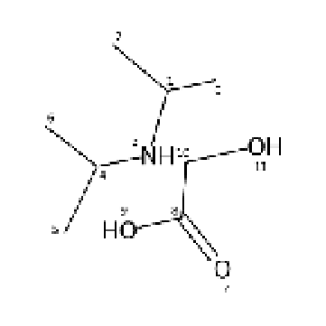 CC(C)NC(C)C.O=C(O)CO